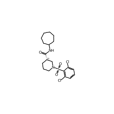 O=C(NC1CCCCCC1)[C@H]1CCCN(S(=O)(=O)c2c(Cl)cccc2Cl)C1